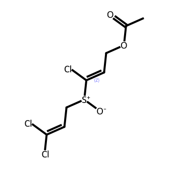 CC(=O)OC/C=C(\Cl)[S+]([O-])CC=C(Cl)Cl